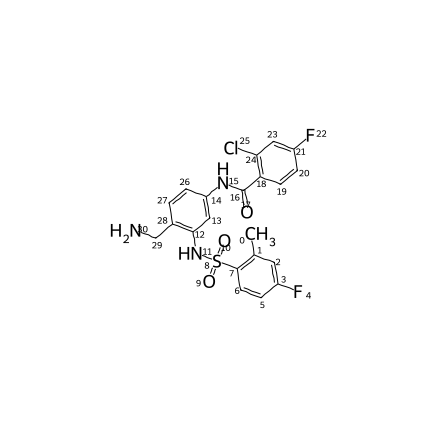 Cc1cc(F)ccc1S(=O)(=O)Nc1cc(NC(=O)c2ccc(F)cc2Cl)ccc1CN